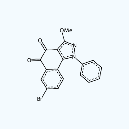 COc1nn(-c2ccccc2)c2c1C(=O)C(=O)c1cc(Br)ccc1-2